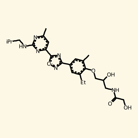 CCc1cc(-c2noc(-c3cc(C)nc(NCC(C)C)n3)n2)cc(C)c1OCC(O)CNC(=O)CO